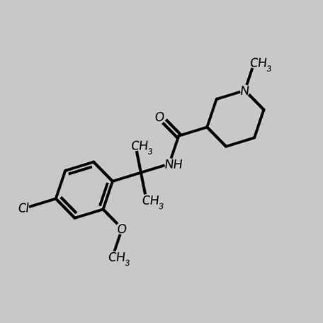 COc1cc(Cl)ccc1C(C)(C)NC(=O)C1CCCN(C)C1